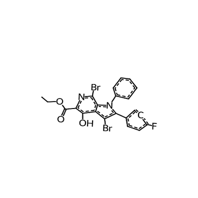 CCOC(=O)c1nc(Br)c2c(c1O)c(Br)c(-c1ccc(F)cc1)n2-c1ccccc1